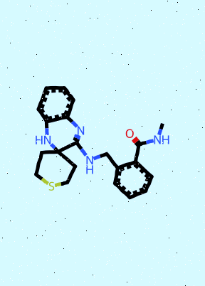 CNC(=O)c1ccccc1CNC1=Nc2ccccc2NC12CCSCC2